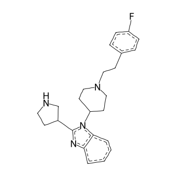 Fc1ccc(CCN2CCC(n3c(C4CCNC4)nc4ccccc43)CC2)cc1